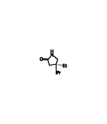 CC[C@@]1(C(C)C)CNC(=O)C1